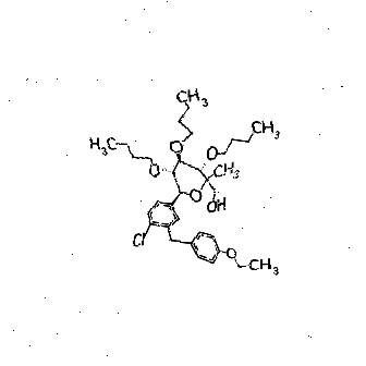 CCCCO[C@@H]1[C@@H](OCCCC)[C@H](OCCCC)C(C)(CO)O[C@H]1c1ccc(Cl)c(Cc2ccc(OCC)cc2)c1